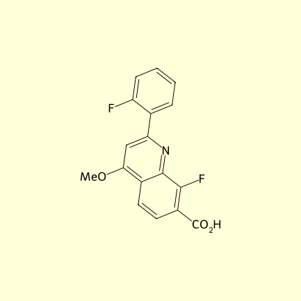 COc1cc(-c2ccccc2F)nc2c(F)c(C(=O)O)ccc12